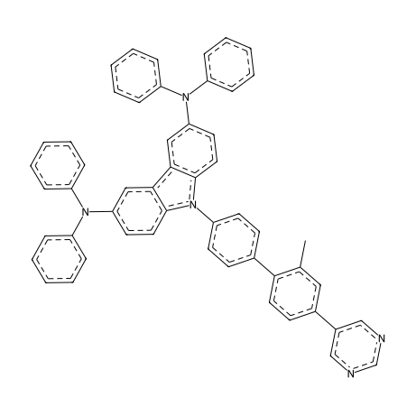 Cc1cc(-c2cncnc2)ccc1-c1ccc(-n2c3ccc(N(c4ccccc4)c4ccccc4)cc3c3cc(N(c4ccccc4)c4ccccc4)ccc32)cc1